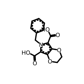 O=C(O)c1c2c(c(C(=O)O)n1Cc1ccccc1)OCCO2